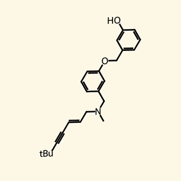 CN(CC=CC#CC(C)(C)C)Cc1cccc(OCc2cccc(O)c2)c1